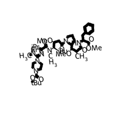 CC[C@H](C)[C@@H]([C@@H](CC(=O)N1CCCC1[C@H](OC)[C@@H](C)C(=O)NC(Cc1ccccc1)C(=O)OC)OC)N(C)C(=O)C(N=C(N(C)C)N1CCN(C(=O)OC(C)(C)C)CC1)C(C)C